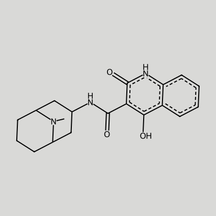 CN1C2CCCC1CC(NC(=O)c1c(O)c3ccccc3[nH]c1=O)C2